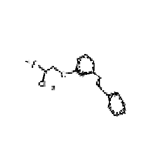 CC(C)COc1cccc(C=Cc2ccccc2)c1